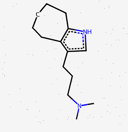 CN(C)CCCc1c[nH]c2c1CCCCC2